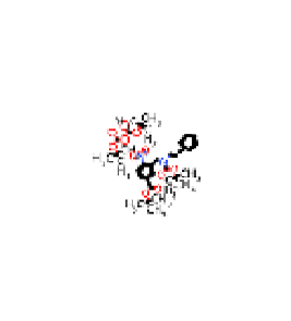 CC(C)(C)OC(=O)OC(=O)OC(C)(C)C.CC(C)(C)OC(=O)c1ccc([N+](=O)[O-])c(CN(CCc2ccccc2)C(=O)OC(C)(C)C)c1